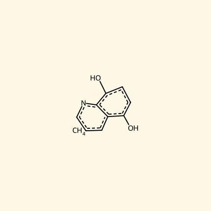 C.Oc1ccc(O)c2ncccc12